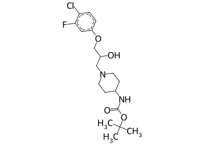 CC(C)(C)OC(=O)NC1CCN(CC(O)COc2ccc(Cl)c(F)c2)CC1